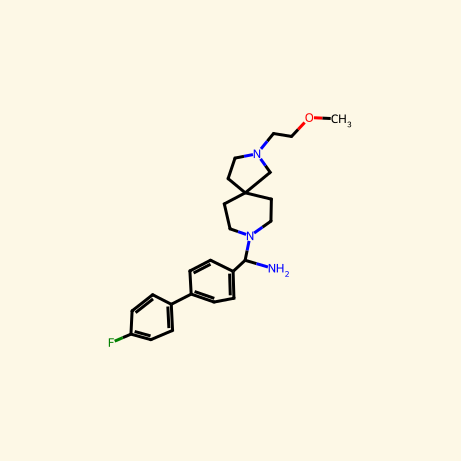 COCCN1CCC2(CCN(C(N)c3ccc(-c4ccc(F)cc4)cc3)CC2)C1